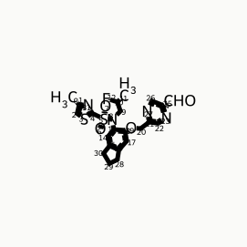 Cc1csc(S(=O)(=O)N(CC(C)F)c2cc3c(cc2OCc2cnc(C=O)cn2)CCC3)n1